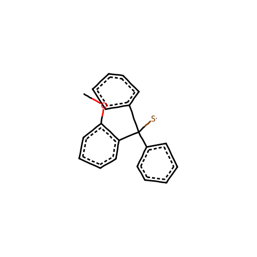 COc1ccccc1C([S])(c1ccccc1)c1ccccc1